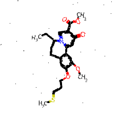 CCC1CCc2cc(OCCCSC)c(OC)cc2-c2cc(=O)c(C(=O)OC)cn21